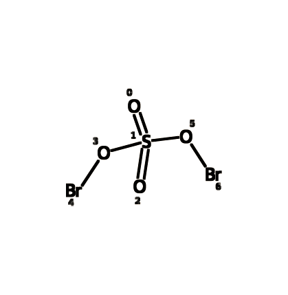 O=S(=O)(OBr)OBr